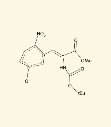 COC(=O)/C(=C/c1c[n+]([O-])ccc1[N+](=O)[O-])NC(=O)OC(C)(C)C